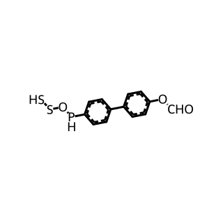 O=COc1ccc(-c2ccc(POSS)cc2)cc1